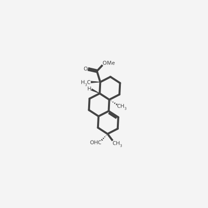 COC(=O)[C@]1(C)CCC[C@@]2(C)C3=CC[C@](C)(C=O)CC3CC[C@H]12